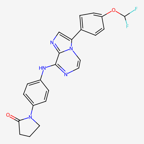 O=C1CCCN1c1ccc(Nc2nccn3c(-c4ccc(OC(F)F)cc4)cnc23)cc1